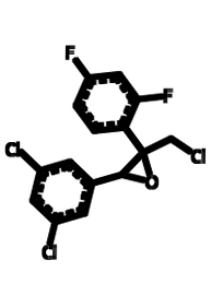 Fc1ccc(C2(CCl)OC2c2cc(Cl)cc(Cl)c2)c(F)c1